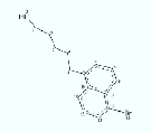 OCCCCCc1cccc2c(Br)cccc12